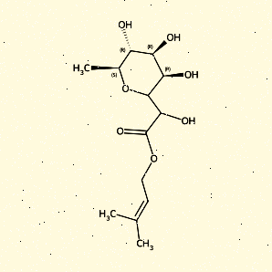 CC(C)=CCOC(=O)C(O)C1O[C@@H](C)[C@H](O)[C@@H](O)[C@H]1O